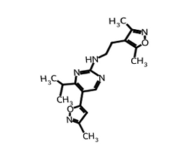 Cc1cc(-c2cnc(NCCc3c(C)noc3C)nc2C(C)C)on1